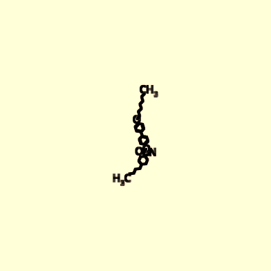 CCCCCCCCOc1ccc(-c2ccc(OC(=O)C3(C#N)CCC(CCCCC)CC3)cc2)cc1